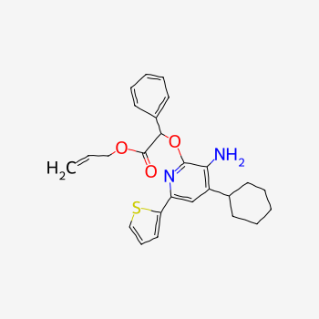 C=CCOC(=O)C(Oc1nc(-c2cccs2)cc(C2CCCCC2)c1N)c1ccccc1